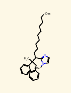 CCCCCCCCCCCCCCCCCCCC(c1nccn1CCCCCCCCCC)C(C)(Cc1ccccc1)c1ccccc1